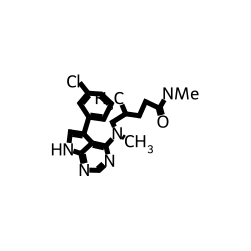 CNC(=O)CCC(C)CN(C)c1ncnc2[nH]cc(-c3cccc(Cl)c3)c12